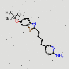 CC(C)(C)[Si](C)(C)Oc1ccc2nc(C=CC=Cc3ccc(N)nc3)sc2c1